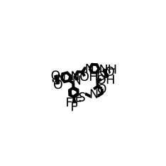 CS(=O)(=O)NC1CCN(CC(O)Cn2nc(-c3ccc(C(F)(F)F)c(SCCN4CCOC(CO)C4)c3)c3c2CCN(S(C)(=O)=O)C3)CC1